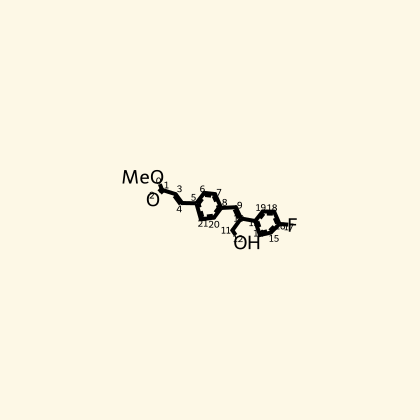 COC(=O)/C=C/c1ccc(/C=C(\CO)c2ccc(F)cc2)cc1